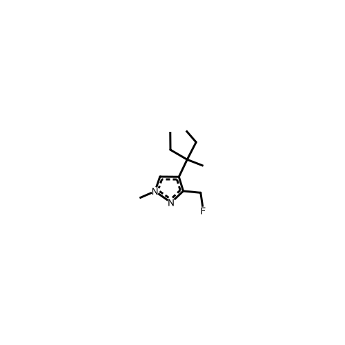 CCC(C)(CC)c1cn(C)nc1CF